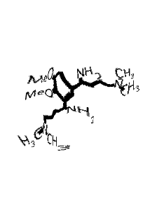 COc1cc(C(N)CCCN(C)C)cc(C(N)CCCN(C)C)c1OC